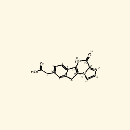 O=C(O)Cc1ccc2c(c1)Cc1c-2[nH]c(=O)c2nccn12